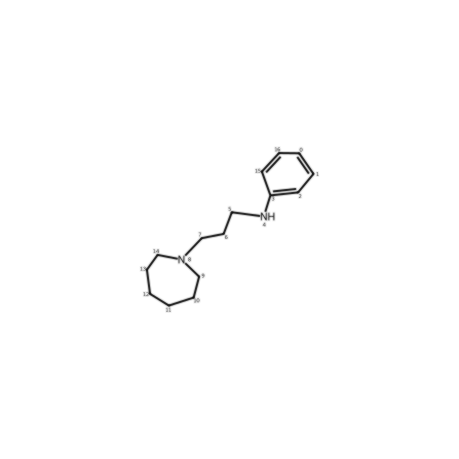 c1ccc(NCCCN2CCCCCC2)cc1